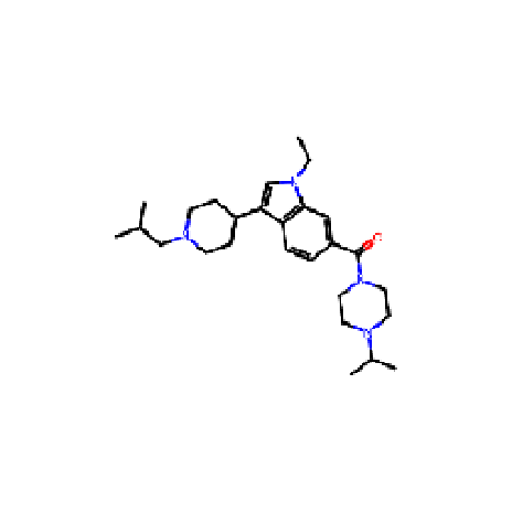 CCn1cc(C2CCN(CC(C)C)CC2)c2ccc(C(=O)N3CCN(C(C)C)CC3)cc21